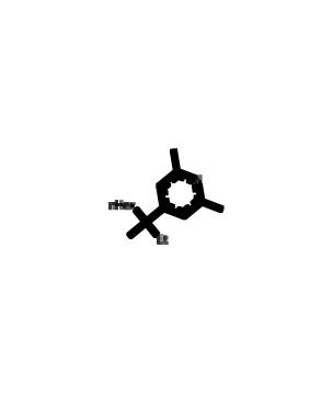 CCCCCCC(C)(CC)c1cc(C)nc(C)c1